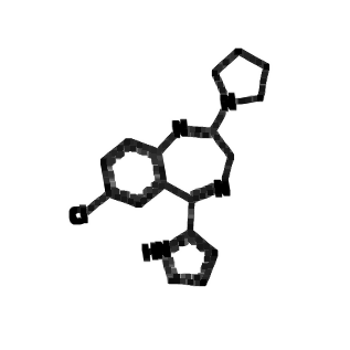 Clc1ccc2c(c1)C(c1ccc[nH]1)=NCC(N1CCCC1)=N2